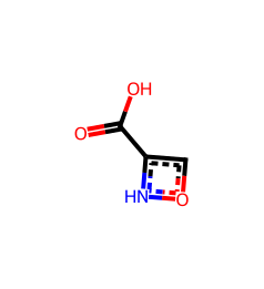 O=C(O)c1co[nH]1